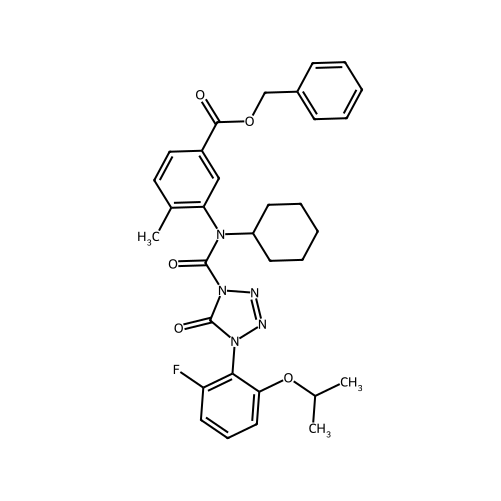 Cc1ccc(C(=O)OCc2ccccc2)cc1N(C(=O)n1nnn(-c2c(F)cccc2OC(C)C)c1=O)C1CCCCC1